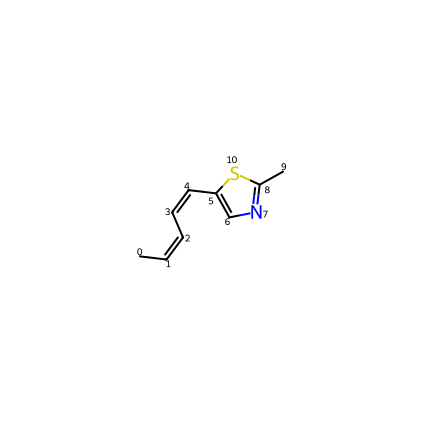 C/C=C\C=C/c1cnc(C)s1